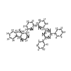 c1ccc(-c2nc(-c3ccccc3)nc(-c3cccc(-c4cccc(-c5ncnc6c5sc5ccccc56)n4)n3)n2)cc1